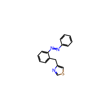 c1ccc(N=Nc2ccccc2Cc2cscn2)cc1